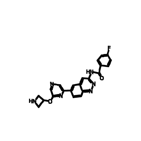 O=C(Nc1cc2cc(-c3cncc(OC4CNC4)n3)ccc2nn1)c1ccc(F)cc1